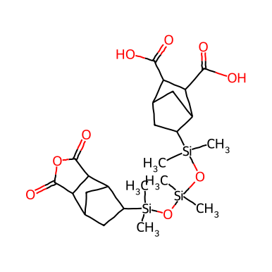 C[Si](C)(O[Si](C)(C)C1CC2CC1C(C(=O)O)C2C(=O)O)O[Si](C)(C)C1CC2CC1C1C(=O)OC(=O)C21